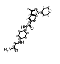 Cc1nn(C2CCOCC2)c2sc(C(=O)N[C@H]3CC[C@@H](NCC(N)=O)CC3)cc12